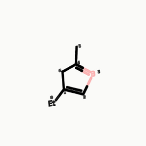 CCC1=CB=C(C)C1